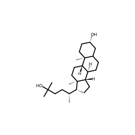 C[C@H](CCC(C)(C)O)[C@H]1CC[C@H]2[C@@H]3CCC4C[C@@H](O)CC[C@]4(C)[C@H]3CC[C@]12C